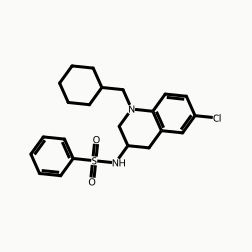 O=S(=O)(NC1Cc2cc(Cl)ccc2N(CC2CCCCC2)C1)c1ccccc1